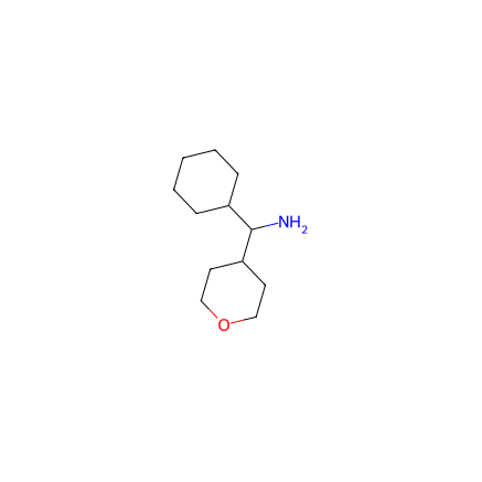 NC(C1CCCCC1)C1CCOCC1